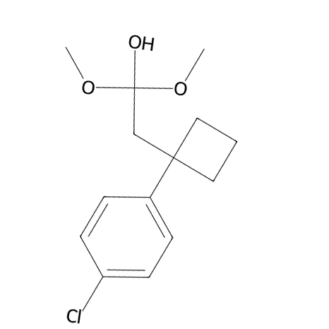 COC(O)(CC1(c2ccc(Cl)cc2)CCC1)OC